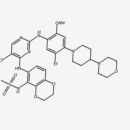 CCc1cc(Nc2ncc(Cl)c(Nc3ccc4c(c3NS(C)(=O)=O)OCCO4)n2)c(OC)cc1N1CCC(N2CCOCC2)CC1